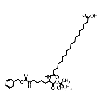 CC(C)(C)OC(=O)C(CCCCNC(=O)OCc1ccccc1)NC(=O)CCCCCCCCCCCCCCCCC(=O)O